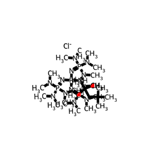 CN(C)P(=N[P+](N=P(N(C)C)(N(C)C)N(C)C)(N=P(N(C)C)(N(C)C)N(C)C)NC(C)(C)CC(C)(C)C)(N(C)C)N(C)C.[Cl-]